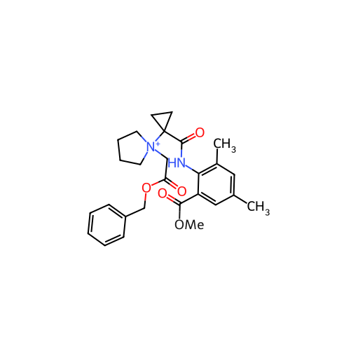 COC(=O)c1cc(C)cc(C)c1NC(=O)C1([N+]2(CC(=O)OCc3ccccc3)CCCC2)CC1